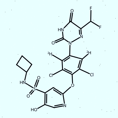 [2H]c1c(Cl)c(Oc2cc(S(=O)(=O)NC3CCC3)c(O)cn2)c(Cl)c([2H])c1-n1nc(C(F)F)c(=O)[nH]c1=O